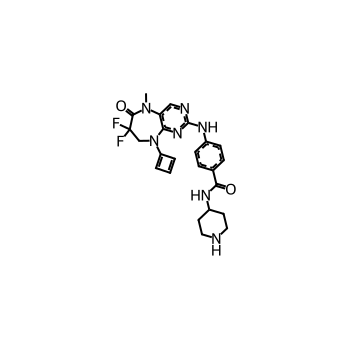 CN1C(=O)C(F)(F)CN(C2=CC=C2)c2nc(Nc3ccc(C(=O)NC4CCNCC4)cc3)ncc21